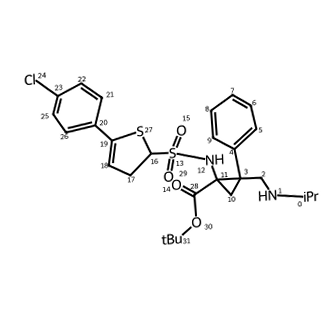 CC(C)NCC1(c2ccccc2)CC1(NS(=O)(=O)C1CC=C(c2ccc(Cl)cc2)S1)C(=O)OC(C)(C)C